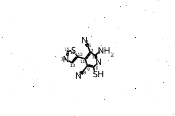 N#Cc1c(N)nc(S)c(C#N)c1-c1cncs1